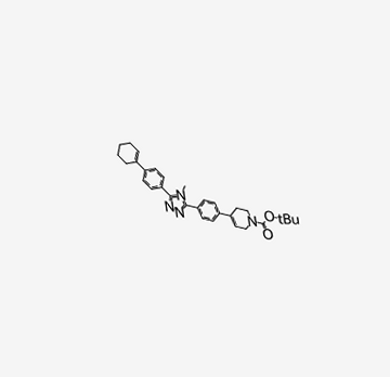 Cn1c(-c2ccc(C3=CCCCC3)cc2)nnc1-c1ccc(C2=CCN(C(=O)OC(C)(C)C)CC2)cc1